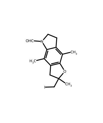 Cc1c2c(c(C)c3c1OC(C)(CI)C3)N(C=O)CC2